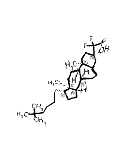 CC(C)(C)CCCC[C@H]1CC[C@H]2[C@@H]3CC=C4C[C@](O)(C(F)(F)F)CC[C@]4(C)[C@H]3CC[C@]12C